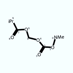 CNOC(=O)OCOC(=O)C(C)C